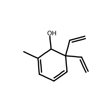 C=CC1(C=C)C=CC=C(C)C1O